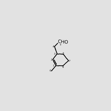 CC1=CC(CC=O)CCC1